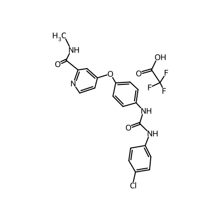 CNC(=O)c1cc(Oc2ccc(NC(=O)Nc3ccc(Cl)cc3)cc2)ccn1.O=C(O)C(F)(F)F